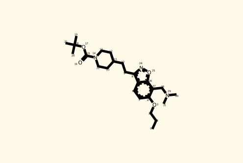 CCCOc1ccc2c(CCC3CCN(C(=O)OC(C)(C)C)CC3)noc2c1CN(C)C